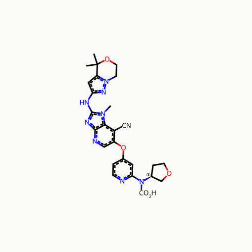 Cn1c(Nc2cc3n(n2)CCOC3(C)C)nc2ncc(Oc3ccnc(N(C(=O)O)[C@H]4CCOC4)c3)c(C#N)c21